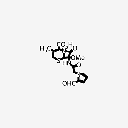 COC1(NC(=O)Cn2cccc2C=O)C(=O)N2C(C(=O)O)=C(C)CSC21